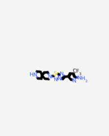 Nc1ncc(-c2cn3nc(N4CCC5(CCNCC5)CC4)sc3n2)cc1C(F)(F)F